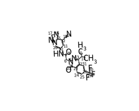 CC(C)c1nn(CC(=O)Nc2cc(C#N)c3ncnn3c2)c(=O)c2ccc(C(F)(F)F)cc12